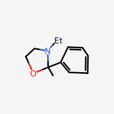 CCN1CCOC1(C)c1ccccc1